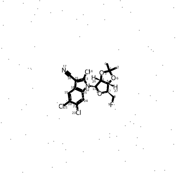 CC1(C)O[C@@H]2[C@H](O1)[C@@H](CF)O[C@H]2n1c(Cl)c(C#N)c2cc(Cl)c(Cl)cc21